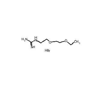 Br.CCOCCOCCNC(=N)N